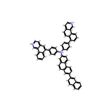 c1ccc2cc(-c3ccc4c(ccc5cc(N(c6ccc(-c7cccc8c7ccc7ccncc78)cc6)c6ccc(-c7cc8ccncc8c8ccccc78)cc6)ccc54)c3)ccc2c1